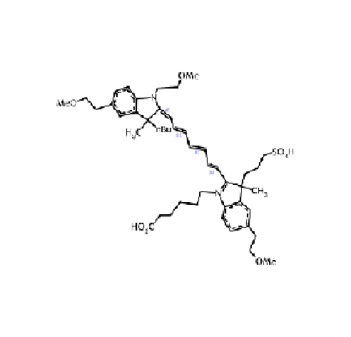 CCCCC1(C)\C(=C/C=C/C=C/C=C/C2=[N+](CCCCCC(=O)O)c3ccc(CCOC)cc3C2(C)CCCS(=O)(=O)O)N(CCOC)c2ccc(CCOC)cc21